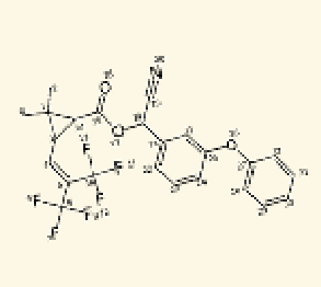 CC1(C)C(C=C(C(F)(F)F)C(F)(F)F)C1C(=O)OC(C#N)c1cccc(Oc2ccccc2)c1